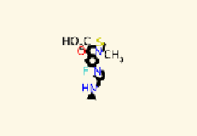 CC1CSc2c(C(=O)O)c(=O)c3cc(F)c(N4CCC(CNC5CC5)C4)cc3n21